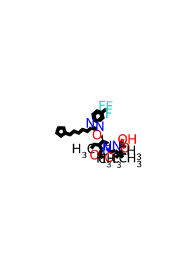 CCC1C(C(C)=O)N(C(=O)C(NC(=O)O)C(C)(C)C)C[C@@H]1COc1nc2cc(C(F)(F)F)ccc2nc1CCCCCC1CCCC1